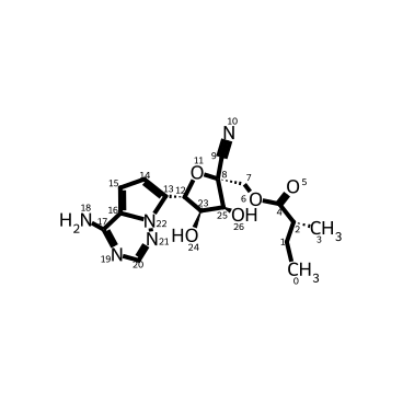 CC[C@@H](C)C(=O)OC[C@@]1(C#N)O[C@@H](c2ccc3c(N)ncnn23)[C@H](O)[C@@H]1O